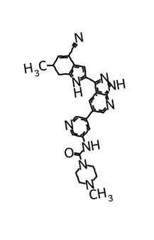 CC1C=C(C#N)c2cc(-c3n[nH]c4ncc(-c5cncc(NC(=O)N6CCN(C)CC6)c5)cc34)[nH]c2C1